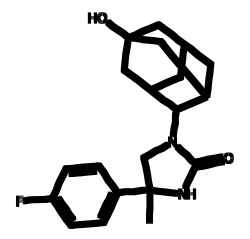 CC1(c2ccc(F)cc2)CN(C2C3CC4CC2CC(O)(C4)C3)C(=O)N1